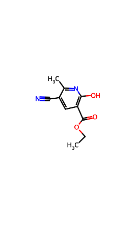 CCOC(=O)c1cc(C#N)c(C)nc1O